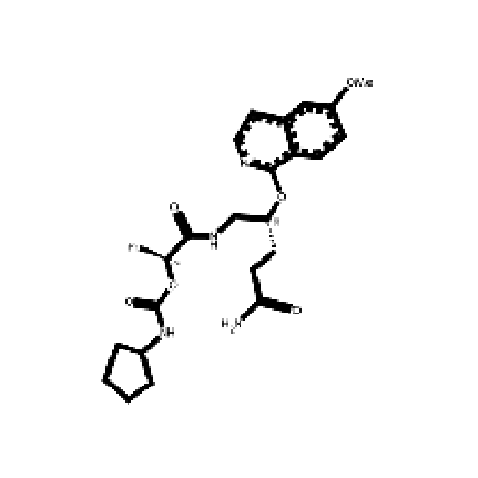 COc1ccc2c(O[C@H](CCC(N)=O)CNC(=O)[C@@H](OC(=O)NC3CCCC3)C(C)C)nccc2c1